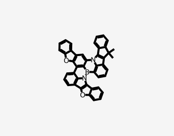 CC1(C)c2ccccc2-c2c1c1cccc3c1n2-c1cc2c(oc4ccccc42)c2c1B3n1c3c-2cccc3c2oc3ccccc3c21